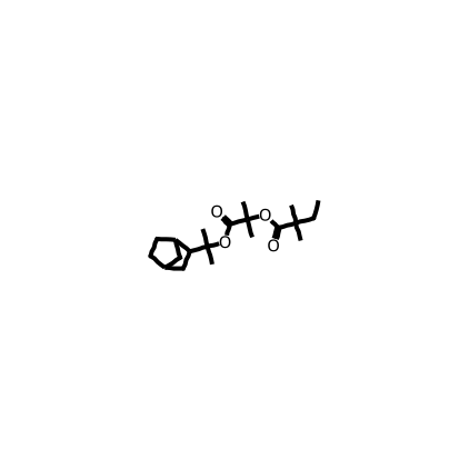 CCC(C)(C)C(=O)OC(C)(C)C(=O)OC(C)(C)C1CC2CCC1C2